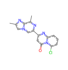 Cc1cn2cc(-c3cc(=O)n4c(Cl)cccc4n3)nc(C)c2n1